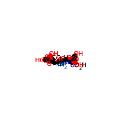 CC(Cc1cc(C(=O)O)cc2c1C(=O)OC21c2ccc(O)cc2Oc2cc(O)ccc21)C[C@H](N)C(=O)C(Cl)C(=O)C(Cl)C(=O)[C@@H](N)CC(C)Cc1cc(C(=O)O)cc2c1C(=O)OC21c2ccc(O)cc2Oc2cc(O)ccc21